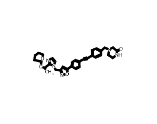 CC(OC1CCCCO1)c1nccn1Cc1cc(-c2ccc(C#Cc3ccc(CN4CCNC(=O)C4)cc3)cc2)on1